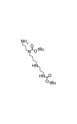 CC(C)(C)OC(=O)NCCCNCCCCN(CCCN)C(=O)OC(C)(C)C